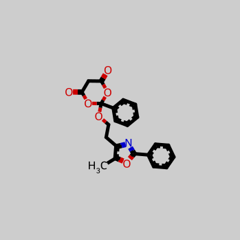 Cc1oc(-c2ccccc2)nc1CCOC1(c2ccccc2)OC(=O)CC(=O)O1